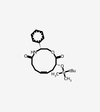 CC(C)(C)[Si](C)(C)O[C@@H]1CC=CCCC(=O)N[C@H](c2ccccc2)COC1=O